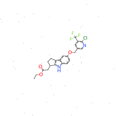 CCOC(=O)CC1CCc2c1[nH]c1ccc(OCc3cnc(Cl)c(C(F)(F)F)c3)cc21